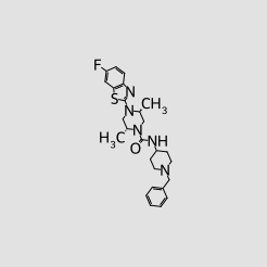 C[C@@H]1CN(c2nc3ccc(F)cc3s2)[C@@H](C)CN1C(=O)NC1CCN(Cc2ccccc2)CC1